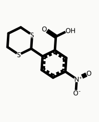 O=C(O)c1cc([N+](=O)[O-])ccc1C1SCCCS1